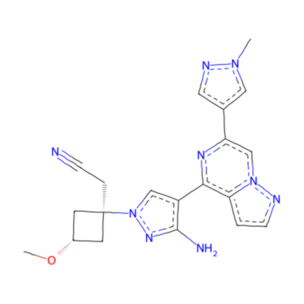 CO[C@H]1C[C@](CC#N)(n2cc(-c3nc(-c4cnn(C)c4)cn4nccc34)c(N)n2)C1